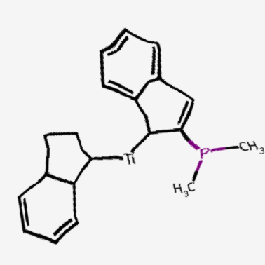 CP(C)C1=Cc2ccccc2[CH]1[Ti][CH]1CCC2C=CC=CC21